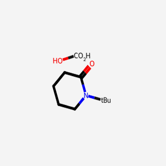 CC(C)(C)N1CCCCC1=O.O=C(O)O